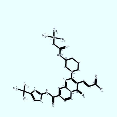 CC(C)(C)c1csc(NC(=O)c2ccn3c(=O)c(C=CC(=O)[O-])c(N4CCCC(NC(=O)C[N+](C)(C)C)C4)nc3c2)n1